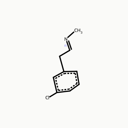 C/N=C/Cc1cccc(Cl)c1